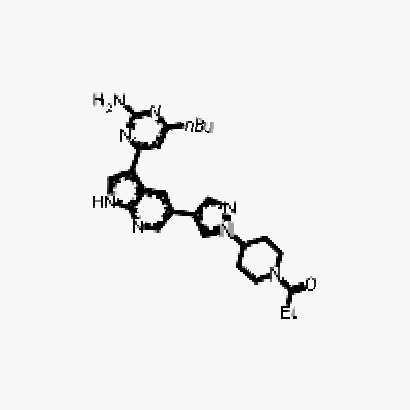 CCCCc1cc(-c2c[nH]c3ncc(-c4cnn(C5CCN(C(=O)CC)CC5)c4)cc23)nc(N)n1